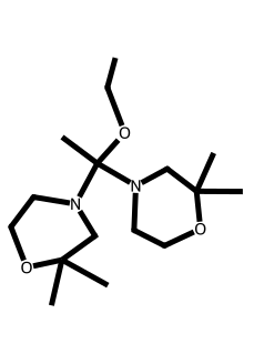 CCOC(C)(N1CCOC(C)(C)C1)N1CCOC(C)(C)C1